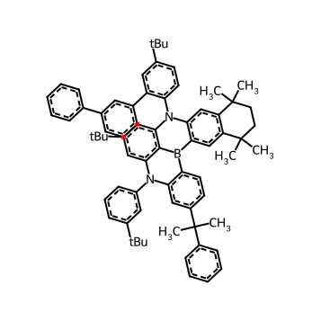 CC(C)(C)c1cccc(N2c3cc(C(C)(C)c4ccccc4)ccc3B3c4cc5c(cc4N(c4ccc(C(C)(C)C)cc4-c4cccc(-c6ccccc6)c4)c4cc(C(C)(C)C)cc2c43)C(C)(C)CCC5(C)C)c1